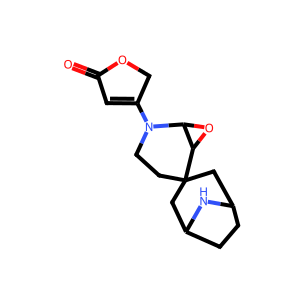 O=C1C=C(N2CCC3(CC4CCC(C3)N4)C3OC32)CO1